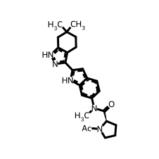 CC(=O)N1CCC[C@@H]1C(=O)N(C)c1ccc2cc(-c3n[nH]c4c3CCC(C)(C)C4)[nH]c2c1